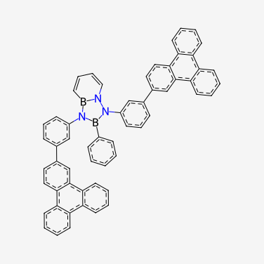 C1=CB2N(c3cccc(-c4ccc5c6ccccc6c6ccccc6c5c4)c3)B(c3ccccc3)N(c3cccc(-c4ccc5c6ccccc6c6ccccc6c5c4)c3)N2C=C1